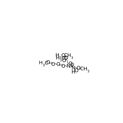 CCOC(=O)CNC(=O)CN(CCOCCOCCOCCOC)C(=O)CCC(=O)OC(C)(C)C